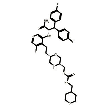 NC(=O)[C@@H](Nc1cncc(F)c1CC[C@@H]1CN[C@H](COC(=O)NCC2CCOCC2)CO1)C(c1ccc(F)cc1)c1ccc(F)cc1